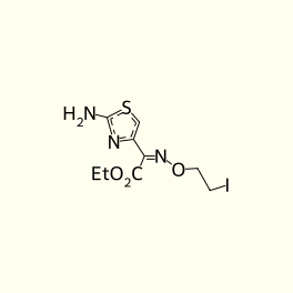 CCOC(=O)/C(=N\OCCI)c1csc(N)n1